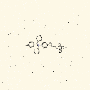 Cc1ccc(/C(=C(\c2ccccc2)c2ccc(OCCCS(=O)(=O)O)cc2)c2ccccc2)cc1